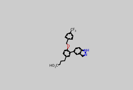 O=C(O)CCCc1ccc(OCc2ccc(C(F)(F)F)cc2)c(-c2ccc3[nH]ncc3c2)c1